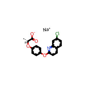 C[C@@H](Oc1ccc(Oc2ccc3ccc(Cl)cc3n2)cc1)C(=O)[O-].[Na+]